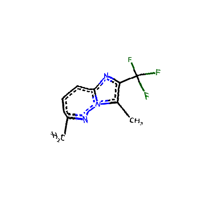 [CH2]c1ccc2nc(C(F)(F)F)c(C)n2n1